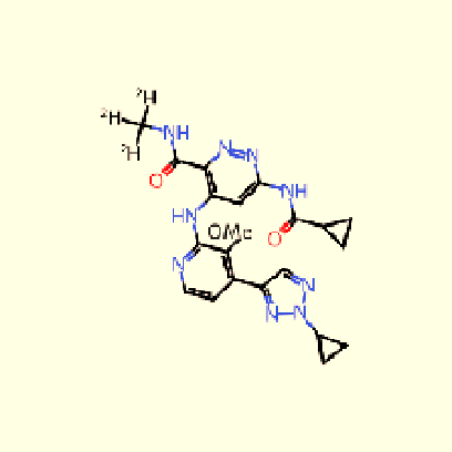 [2H]C([2H])([2H])NC(=O)c1nnc(NC(=O)C2CC2)cc1Nc1nccc(-c2cnn(C3CC3)n2)c1OC